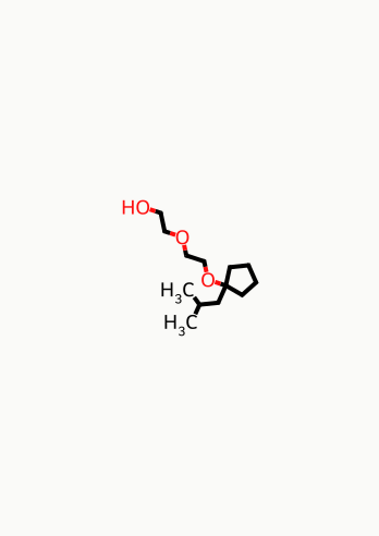 CC(C)CC1(OCCOCCO)CCCC1